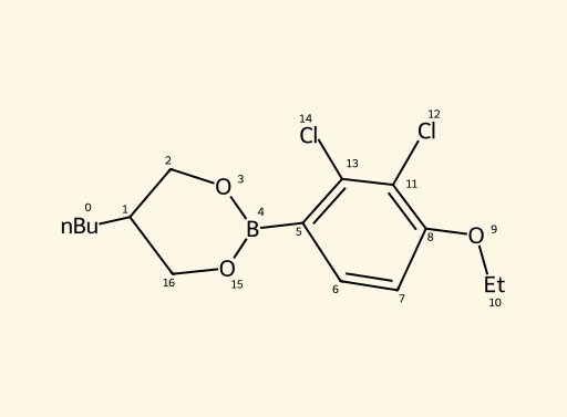 CCCCC1COB(c2ccc(OCC)c(Cl)c2Cl)OC1